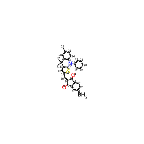 Bc1ccc2c(c1)C(=O)/C(=C/c1cc3c(s1)N(c1ccccc1)c1ccc(C)cc1C3(C)C)C2=O